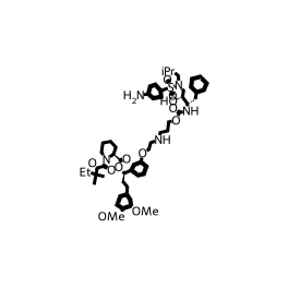 CCC(C)(C)C(=O)C(=O)N1CCCC[C@H]1C(=O)O[C@H](CCc1ccc(OC)c(OC)c1)c1cccc(OCCNCCCOC(=O)N[C@@H](Cc2ccccc2)[C@H](O)CN(CC(C)C)S(=O)(=O)c2ccc(N)cc2)c1